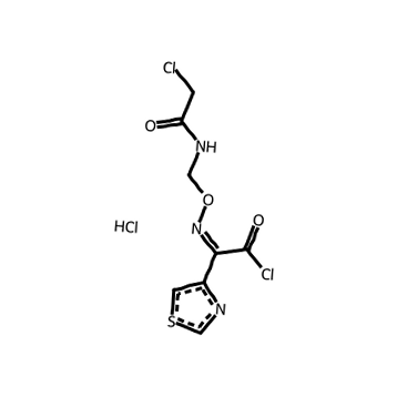 Cl.O=C(CCl)NCON=C(C(=O)Cl)c1cscn1